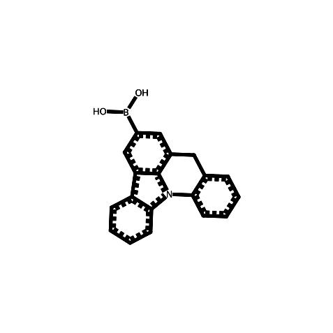 OB(O)c1cc2c3c(c1)c1ccccc1n3-c1ccccc1C2